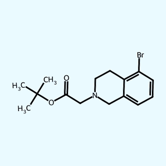 CC(C)(C)OC(=O)CN1CCc2c(Br)cccc2C1